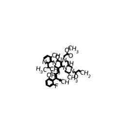 C#C/C(=C(F)\C=C1/CN(c2c(C)ccnc2C(C)C)C(=O)C2=C1N1C[C@@H](C)N(C(=O)C=C)C[C@@H]1CN2CC(=O)OC)c1c(O)cccc1F